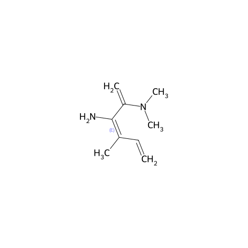 C=C/C(C)=C(/N)C(=C)N(C)C